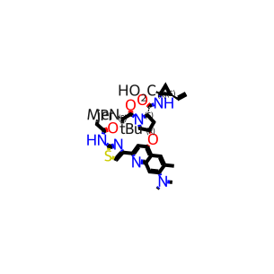 C=C[C@@H]1C[C@]1(NC(=O)[C@@H]1C[C@@H](Oc2cc(-c3csc(NC(=O)CC(C)C)n3)nc3cc(N(C)C)c(C)cc23)CN1C(=O)[C@@H](NC)C(C)(C)C)C(=O)O